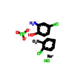 Cl.Nc1cc(Cl)ccc1O.O=[N+]([O-])c1ccccc1Cl.[Na+].[O-][Cl+2]([O-])[O-]